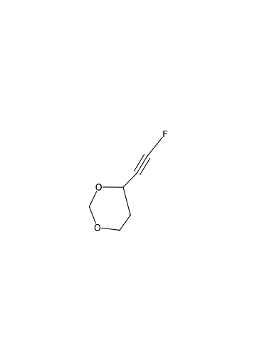 FC#CC1CCOCO1